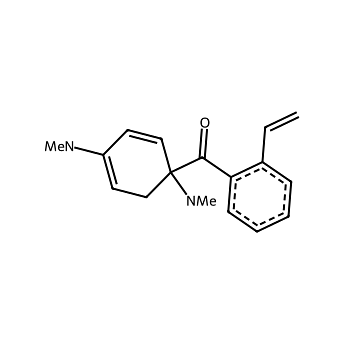 C=Cc1ccccc1C(=O)C1(NC)C=CC(NC)=CC1